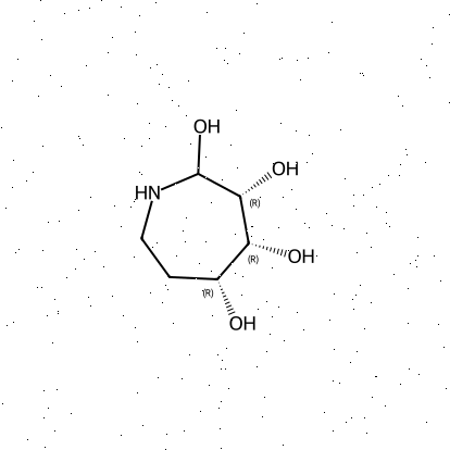 OC1NCC[C@@H](O)[C@@H](O)[C@H]1O